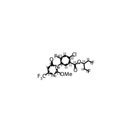 COc1nc(C(F)(F)F)cc(=O)n1-c1cc(C(=O)OC(CF)CF)c(Cl)cc1F